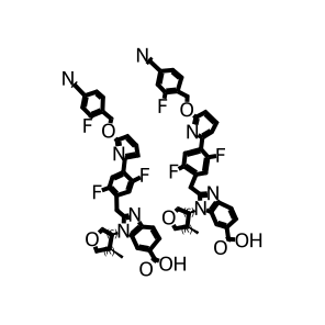 C[C@H]1COC[C@H]1n1c(Cc2cc(F)c(-c3cccc(OCc4ccc(C#N)cc4F)n3)cc2F)nc2ccc(C(=O)O)cc21.C[C@H]1COC[C@H]1n1c(Cc2cc(F)c(-c3cccc(OCc4ccc(C#N)cc4F)n3)cc2F)nc2ccc(C(=O)O)cc21